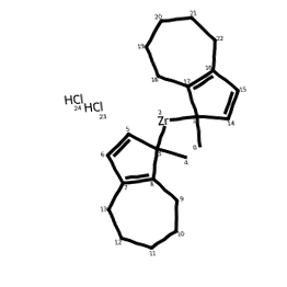 C[C]1([Zr][C]2(C)C=CC3=C2CCCCC3)C=CC2=C1CCCCC2.Cl.Cl